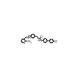 Cc1ncccc1CNCc1ccc(CCC(=O)Nc2ccc(-c3ccc(Cl)cc3)cc2)cc1